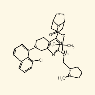 CN1CCCC1COc1nc2c(c(N3CC4CCC(C3)N4C(=O)OC(C)(C)C)n1)CCN(c1cccc3cccc(Cl)c13)C2